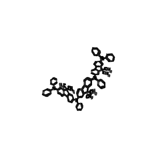 CC1(C)c2cc(N(c3ccccc3)c3ccccc3)ccc2-c2ccc(N(c3ccccc3)c3ccc4c(c3)C(C)(C)c3cc(N(c5ccccc5)c5ccc6c(c5)C(C)(C)c5cc(N(c7ccccc7)c7ccccc7)ccc5-6)ccc3-4)cc21